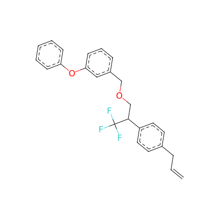 C=CCc1ccc(C(COCc2cccc(Oc3ccccc3)c2)C(F)(F)F)cc1